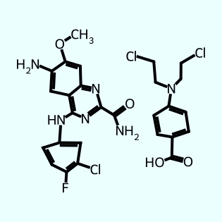 COc1cc2nc(C(N)=O)nc(Nc3ccc(F)c(Cl)c3)c2cc1N.O=C(O)c1ccc(N(CCCl)CCCl)cc1